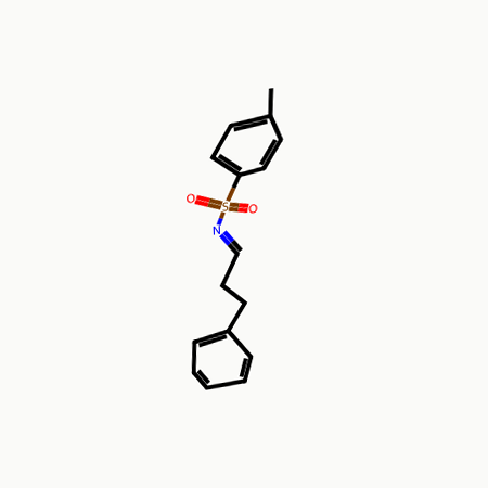 Cc1ccc(S(=O)(=O)N=CCCc2ccccc2)cc1